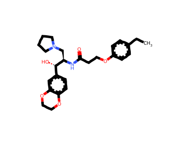 CCc1ccc(OCCC(=O)N[C@H](CN2CCCC2)[C@@H](O)c2ccc3c(c2)OCCO3)cc1